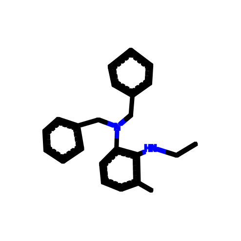 CCNc1c(C)cccc1N(Cc1ccccc1)Cc1ccccc1